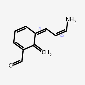 C=c1c(C=O)ccc/c1=C/C=C\N